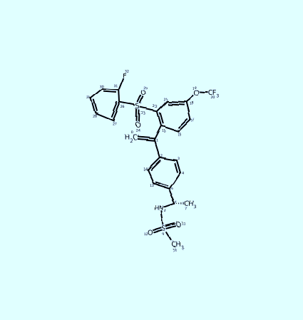 C=C(c1ccc([C@H](C)NS(C)(=O)=O)cc1)c1ccc(OC(F)(F)F)cc1S(=O)(=O)c1ccccc1F